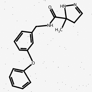 CC1(C(=O)NCc2cccc(Oc3ccccc3)c2)CC=NN1